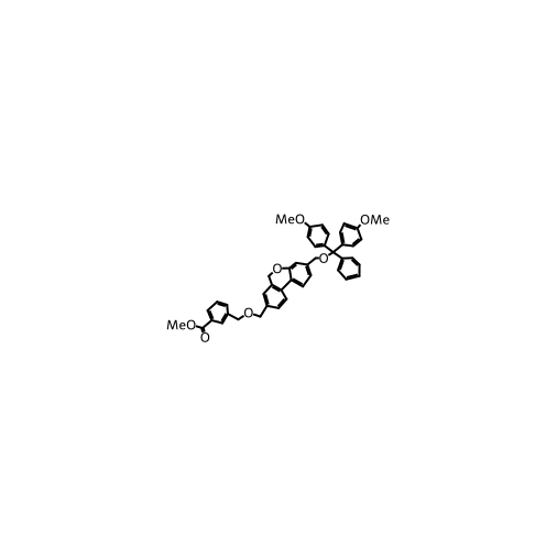 COC(=O)c1cccc(COCc2ccc3c(c2)COc2cc(COC(c4ccccc4)(c4ccc(OC)cc4)c4ccc(OC)cc4)ccc2-3)c1